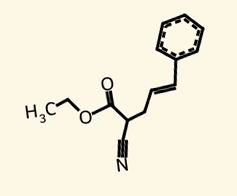 CCOC(=O)C(C#N)CC=Cc1ccccc1